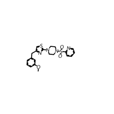 COc1cccc(Cc2csc(N3CCN(S(=O)(=O)c4ccccn4)CC3)n2)c1